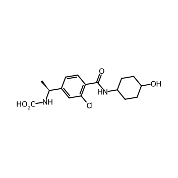 C[C@H](NC(=O)O)c1ccc(C(=O)NC2CCC(O)CC2)c(Cl)c1